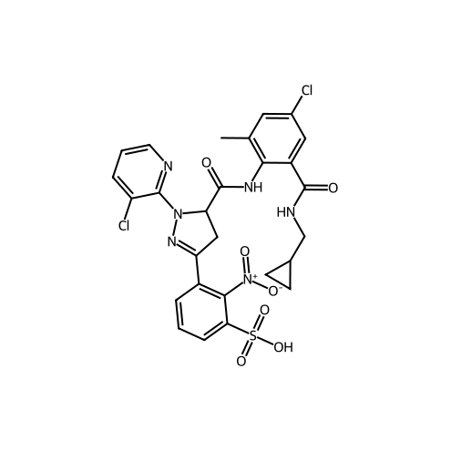 Cc1cc(Cl)cc(C(=O)NCC2CC2)c1NC(=O)C1CC(c2cccc(S(=O)(=O)O)c2[N+](=O)[O-])=NN1c1ncccc1Cl